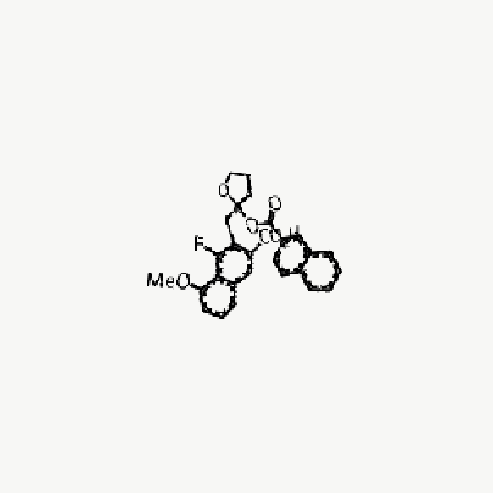 COc1cccc2cc(C(=O)O)c(C[C@]3(OC(=O)c4ccc5ccccc5c4)CCCO3)c(F)c12